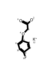 O=C([O-])COc1ccc(F)cc1.[K+]